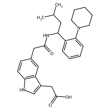 CC(C)CC(NC(=O)Cc1ccc2[nH]cc(CC(=O)O)c2c1)c1ccccc1N1CCCCC1